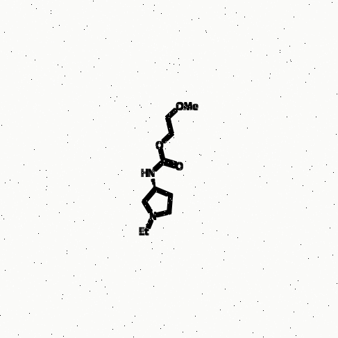 CCN1CC[C@@H](NC(=O)OCCOC)C1